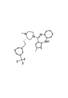 Cc1cc2c(s1)Nc1ccccc1N=C2N1CCN(C)[C@@H](CCc2cccc(C(F)(F)F)c2)C1